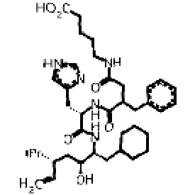 C=C[C@@H](C[C@H](O)[C@H](CC1CCCCC1)NC(=O)[C@H](Cc1c[nH]cn1)NC(=O)C(CC(=O)NCCCCC(=O)O)Cc1ccccc1)C(C)C